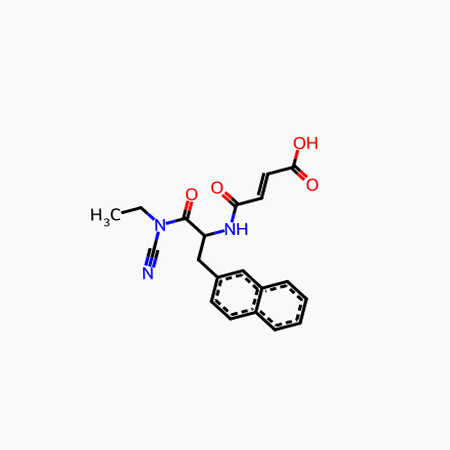 CCN(C#N)C(=O)C(Cc1ccc2ccccc2c1)NC(=O)C=CC(=O)O